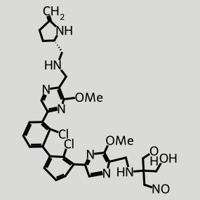 C=C1CC[C@@H](CNCc2ncc(-c3cccc(-c4cccc(-c5cnc(CNC(CO)(CO)CN=O)c(OC)n5)c4Cl)c3Cl)nc2OC)N1